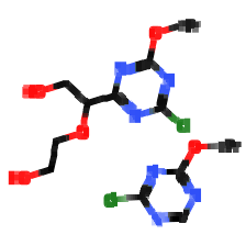 CCCOc1nc(Cl)nc(C(CO)OCCO)n1.CCCOc1ncnc(Cl)n1